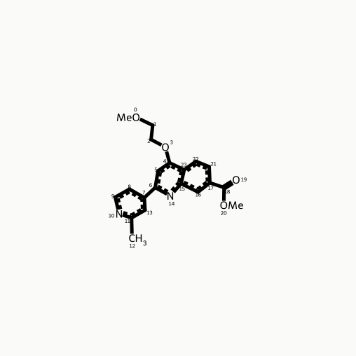 COCCOc1cc(-c2ccnc(C)c2)nc2cc(C(=O)OC)ccc12